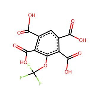 O=C(O)c1cc(C(=O)O)c(C(=O)O)c(OC(F)(F)F)c1C(=O)O